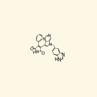 O=C1NC(=O)C(c2cn(Cc3ccc4[nH]cnc4c3)c3cncnc23)=C1c1ccccc1